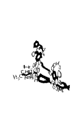 COc1cc2c(cc1OCCCOc1cc3c(cc1OC)C(=O)N1CC4(CC4)C[C@H]1C(O)N3C(=O)OCc1ccc(NC(=O)[C@H](C)NC(=O)[C@@H](N)C(C)C)cc1)N=C[C@@H]1Cc3ccccc3N1C2=O